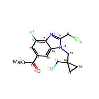 COC(=O)c1cc(F)c2nc(CCl)n(CC3(CF)CC3)c2c1